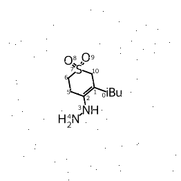 CCC(C)C1=C(NN)CCS(=O)(=O)C1